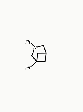 CC(C)N1CC2CC(C(C)C)(C2)C1